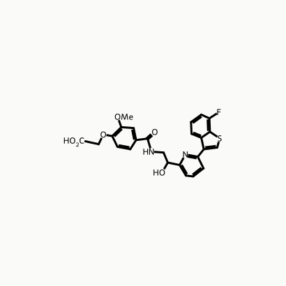 COc1cc(C(=O)NCC(O)c2cccc(-c3csc4c(F)cccc34)n2)ccc1OCC(=O)O